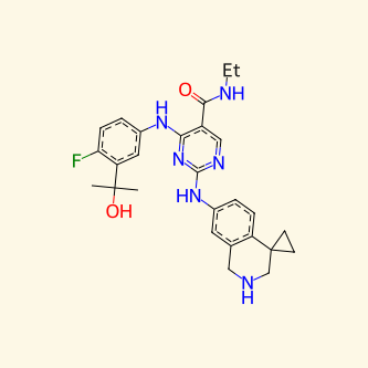 CCNC(=O)c1cnc(Nc2ccc3c(c2)CNCC32CC2)nc1Nc1ccc(F)c(C(C)(C)O)c1